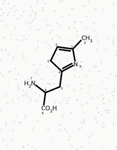 CC1=CCC(CC(N)C(=O)O)=N1